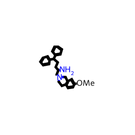 COc1ccc2c(c1)CN(CC(N)CCC(c1ccccc1)c1ccccc1)CC2